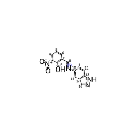 O=[N+]([O-])c1cccc(/C=N/c2ccc3[nH]ncc3c2)c1O